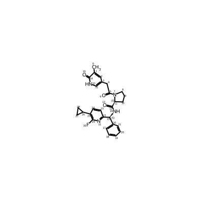 Cc1cc(CC(=O)N2CCC[C@H]2C(=O)N[C@@H](c2ccccc2)c2ccc(C3CC3)c(F)n2)c[nH]c1=O